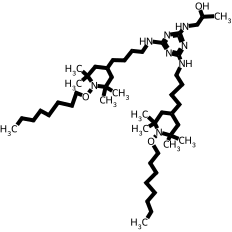 CCCCCCCCON1C(C)(C)CC(CCCCNc2nc(NCCCCC3CC(C)(C)N(OCCCCCCCC)C(C)(C)C3)nc(NCC(C)O)n2)CC1(C)C